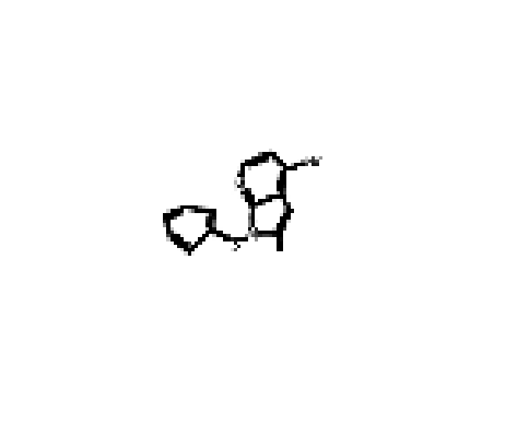 Cc1cc2c(Br)ccnc2n1Sc1ccccc1